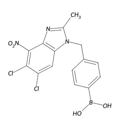 Cc1nc2c([N+](=O)[O-])c(Cl)c(Cl)cc2n1Cc1ccc(B(O)O)cc1